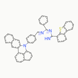 N=C(/N=C(\N=C\c1ccc(N2c3cc4ccccc4cc3-c3cccc4cccc2c34)cc1)c1ccccc1)c1cccc2c1sc1ccccc12